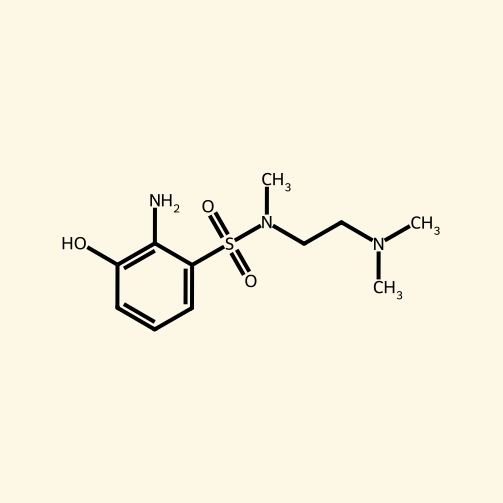 CN(C)CCN(C)S(=O)(=O)c1cccc(O)c1N